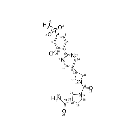 CS(=O)(=O)c1ccc(-c2ncc(C3CN(C(=O)N4CC[C@H](C(N)=O)C4)C3)cn2)c(Cl)c1